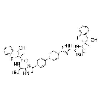 CC(C)(C)C(NC(=O)C(C)(C)C(O)c1ccccc1F)c1nc(-c2ccc(-c3ccc(-c4c[nH]c(C(NC(=O)C(C)(C)C(O)c5ccccc5F)C(C)(C)C)n4)cc3)cc2)c[nH]1